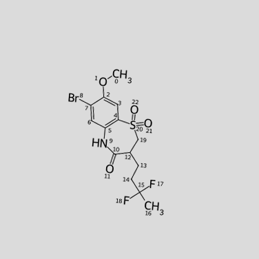 COc1cc2c(cc1Br)NC(=O)C(CCC(C)(F)F)CS2(=O)=O